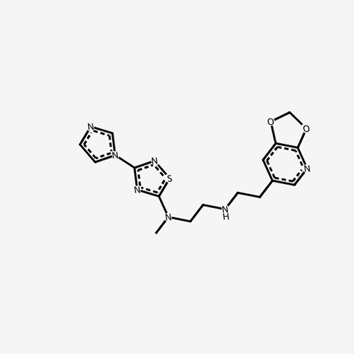 CN(CCNCCc1cnc2c(c1)OCO2)c1nc(-n2ccnc2)ns1